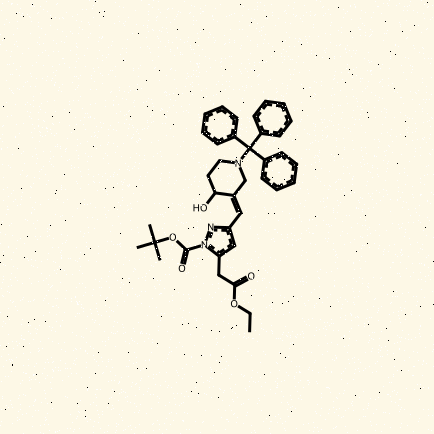 CCOC(=O)Cc1cc(/C=C2/CN(C(c3ccccc3)(c3ccccc3)c3ccccc3)CCC2O)nn1C(=O)OC(C)(C)C